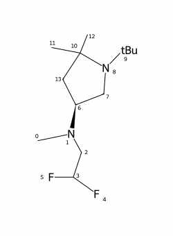 CN(CC(F)F)[C@@H]1CN(C(C)(C)C)C(C)(C)C1